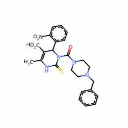 CC1=C(C(=O)O)C(c2ccccc2[N+](=O)[O-])N(C(=O)N2CCN(Cc3ccccc3)CC2)C(=S)N1